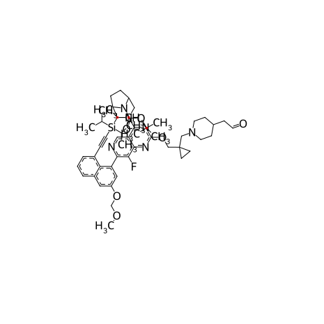 COCOc1cc(-c2ncc3c(N4CC5CCC(C4)N5C(=O)OC(C)(C)C)nc(OCC4(CN5CCC(CC=O)CC5)CC4)nc3c2F)c2c(C#C[Si](C(C)C)(C(C)C)C(C)C)cccc2c1